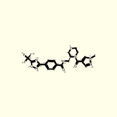 Cn1cc(C(=O)N2CCOC[C@@H]2CNC(=O)c2ccc(-c3noc(C(F)(F)F)n3)cc2)cn1